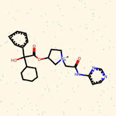 C[N@@+]1(CC(=O)Nc2ccncn2)CCC(OC(=O)C(O)(c2ccccc2)C2CCCCC2)C1